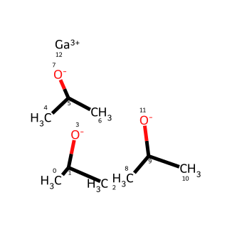 CC(C)[O-].CC(C)[O-].CC(C)[O-].[Ga+3]